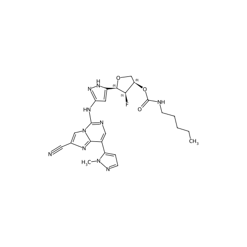 CCCCCNC(=O)O[C@@H]1CO[C@H](c2cc(Nc3ncc(-c4ccnn4C)c4nc(C#N)cn34)n[nH]2)[C@@H]1F